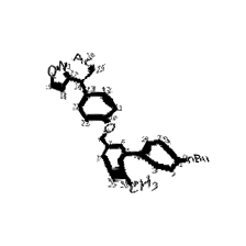 CCCCc1ccc(-c2cc(COc3ccc([C@H](CC(C)=O)c4ccon4)cc3)ccc2C)cc1